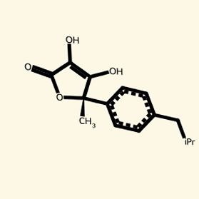 CC(C)Cc1ccc([C@]2(C)OC(=O)C(O)=C2O)cc1